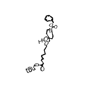 CC(C)(C)OC(=O)CCCCCCCOCC1(O)CCN(C(=O)OCc2ccccc2)CC1